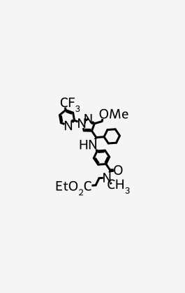 CCOC(=O)CCN(C)C(=O)c1ccc(NC(c2cn(-c3cc(C(F)(F)F)ccn3)nc2COC)C2CCCCC2)cc1